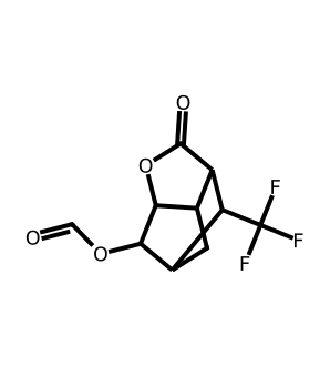 O=COC1C2CC3C1OC(=O)C3C2C(F)(F)F